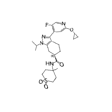 CC(C)n1nc(-c2cc(OC3CC3)ncc2F)c2c1C[C@H](C(=O)NC1(C)CCS(=O)(=O)CC1)CC2